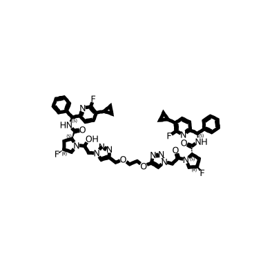 O=C(N[C@@H](c1ccccc1)c1ccc(C2CC2)c(F)n1)[C@@H]1C[C@@H](F)CN1C(=O)Cn1cc(OCCOCc2cn(CC(O)N3C[C@H](F)C[C@H]3C(=O)N[C@@H](c3ccccc3)c3ccc(C4CC4)c(F)n3)nn2)nn1